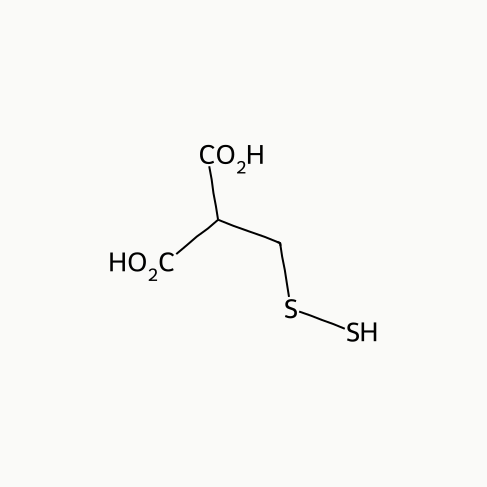 O=C(O)C(CSS)C(=O)O